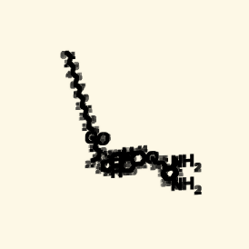 CCCCCCCCCCCCCCCCOC(=O)CCC(C)[C@H]1CC[C@H]2[C@@H]3CCC4CC(OCCc5ccc(N)cc5N)CC[C@]4(C)[C@H]3CC[C@]12C